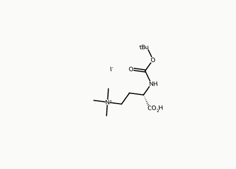 CC(C)(C)OC(=O)N[C@@H](CC[N+](C)(C)C)C(=O)O.[I-]